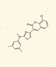 Cc1cc(C)cc(N(C)c2nc(-c3cc4cccc(Cl)c4oc3=O)cs2)c1